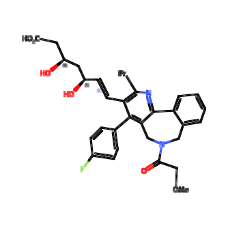 COCC(=O)N1Cc2ccccc2-c2nc(C(C)C)c(/C=C/[C@@H](O)C[C@@H](O)CC(=O)O)c(-c3ccc(F)cc3)c2C1